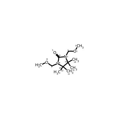 COCN1C(=O)N(COC)C(C)(C)C1(C)C